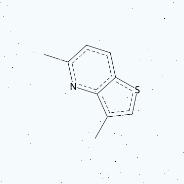 Cc1ccc2scc(C)c2n1